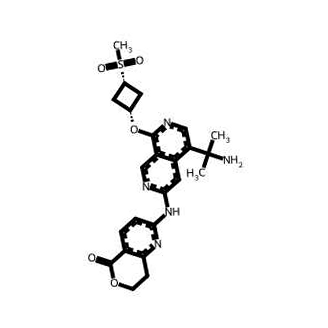 CC(C)(N)c1cnc(O[C@H]2C[C@@H](S(C)(=O)=O)C2)c2cnc(Nc3ccc4c(n3)CCOC4=O)cc12